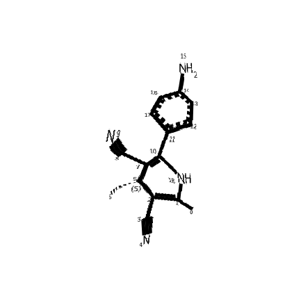 CC1=C(C#N)[C@H](C)C(C#N)=C(c2ccc(N)cc2)N1